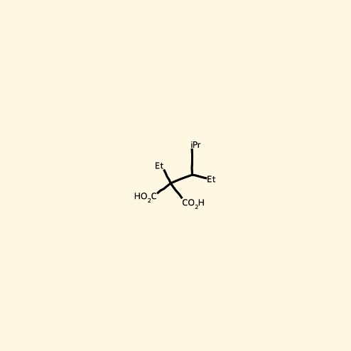 CCC(C(C)C)C(CC)(C(=O)O)C(=O)O